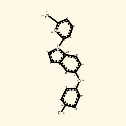 Nc1cccc(-n2ccc3cc(Nc4ccc(Cl)cc4)ccc32)n1